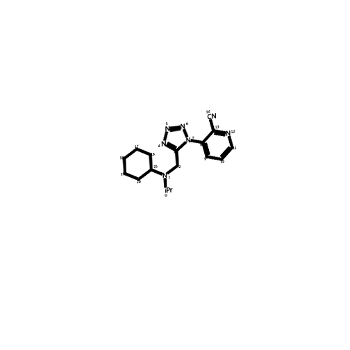 CC(C)N(Cc1nnnn1-c1cccnc1C#N)C1CCCCC1